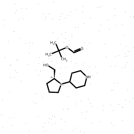 CC(C)(C)OC=O.OC[C@@H]1CCCN1C1CCNCC1